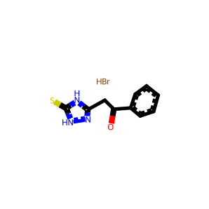 Br.O=C(Cc1n[nH]c(=S)[nH]1)c1ccccc1